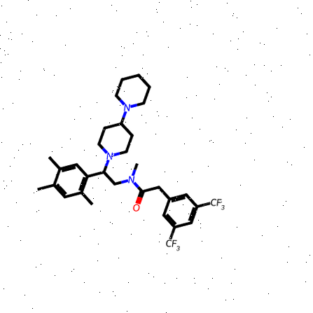 Cc1cc(C)c(C(CN(C)C(=O)Cc2cc(C(F)(F)F)cc(C(F)(F)F)c2)N2CCC(N3CCCCC3)CC2)cc1C